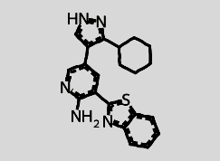 Nc1ncc(-c2c[nH]nc2C2CCCCC2)cc1-c1nc2ccccc2s1